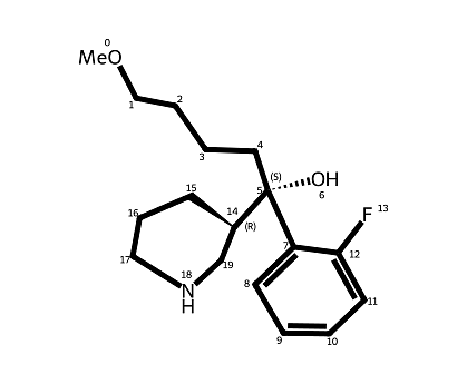 COCCCC[C@@](O)(c1ccccc1F)[C@@H]1CCCNC1